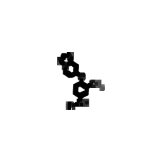 Cc1cc(NC(C)C)ccc1Oc1ccn2ncnc2c1